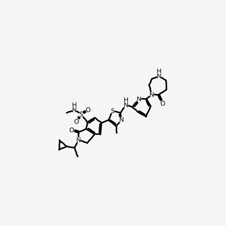 CNS(=O)(=O)c1cc(-c2sc(Nc3cccc(N4CCNCCC4=O)n3)nc2C)cc2c1C(=O)N(C(C)C1CC1)C2